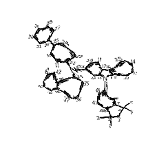 CC1(C)CC(C)(C)c2cc(-n3c4ccccc4c4ccc(N(c5ccc(-c6ccccc6)cc5)c5cccc6ccccc56)cc43)ccc21